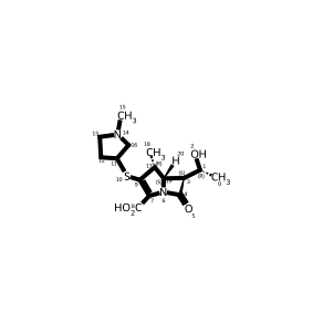 C[C@@H](O)[C@H]1C(=O)N2C(C(=O)O)=C(SC3CCN(C)C3)[C@H](C)[C@H]12